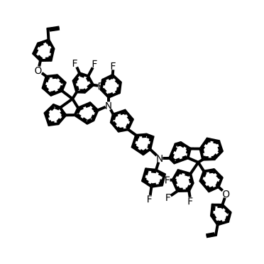 C=Cc1ccc(Oc2ccc(C3(c4cc(F)c(F)c(F)c4)c4ccccc4-c4ccc(N(c5ccc(F)cc5)c5ccc(-c6ccc(N(c7ccc(F)cc7)c7ccc8c(c7)C(c7ccc(Oc9ccc(C=C)cc9)cc7)(c7cc(F)c(F)c(F)c7)c7ccccc7-8)cc6)cc5)cc43)cc2)cc1